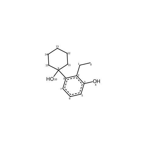 CCc1c(O)cccc1C1(O)CCCCC1